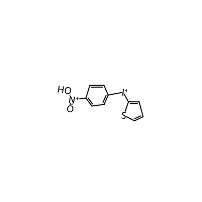 O=[N+](O)c1ccc([I+]c2cccs2)cc1